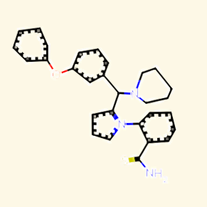 NC(=S)c1ccccc1-n1cccc1C(c1cccc(Oc2ccccc2)c1)N1CCCCC1